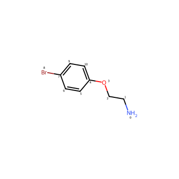 NCCOc1ccc(Br)cc1